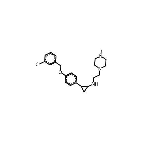 CN1CCN(CCNC2CC2c2ccc(OCc3cccc(Cl)c3)cc2)CC1